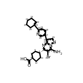 Nc1c(Br)c([C@H]2CC[C@H](C(=O)O)CC2)nc2c(-c3ccc(C4=CCCCC4)nc3)cnn12